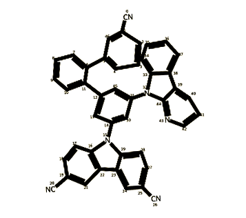 N#Cc1cccc(-c2ccccc2-c2cc(-n3c4ccc(C#N)cc4c4cc(C#N)ccc43)cc(-n3c4ccccc4c4cccnc43)c2)c1